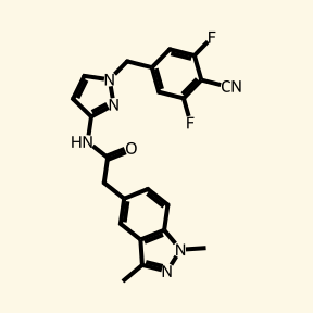 Cc1nn(C)c2ccc(CC(=O)Nc3ccn(Cc4cc(F)c(C#N)c(F)c4)n3)cc12